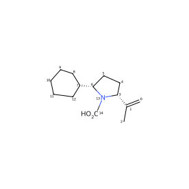 C=C(C)[C@H]1CC[C@@H](C2CCCCC2)N1C(=O)O